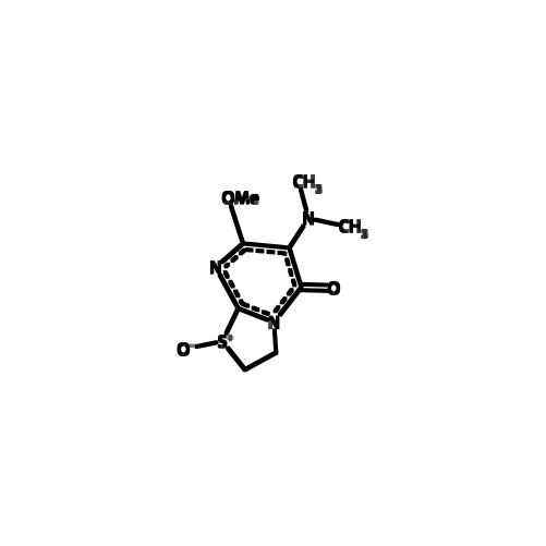 COc1nc2n(c(=O)c1N(C)C)CC[S+]2[O-]